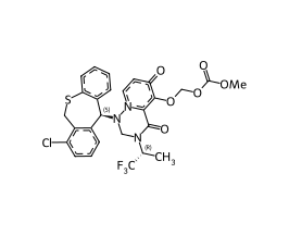 COC(=O)OCOc1c2n(ccc1=O)N([C@@H]1c3ccccc3SCc3c(Cl)cccc31)CN([C@H](C)C(F)(F)F)C2=O